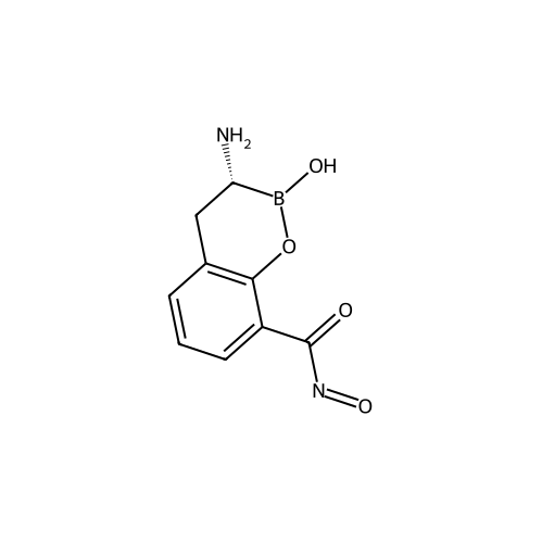 N[C@H]1Cc2cccc(C(=O)N=O)c2OB1O